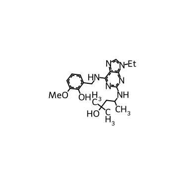 CCn1cnc2c(NCc3cccc(OC)c3O)nc(NC(C)CC(C)(C)O)nc21